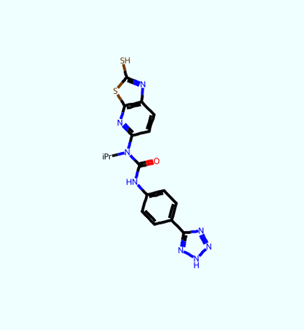 CC(C)N(C(=O)Nc1ccc(-c2nn[nH]n2)cc1)c1ccc2nc(S)sc2n1